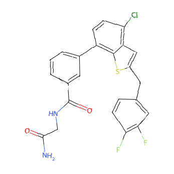 NC(=O)CNC(=O)c1cccc(-c2ccc(Cl)c3cc(Cc4ccc(F)c(F)c4)sc23)c1